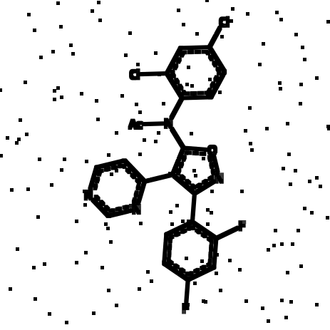 CC(=O)N(c1ccc(Cl)cc1Cl)c1onc(-c2ccc(F)cc2F)c1-c1ccncn1